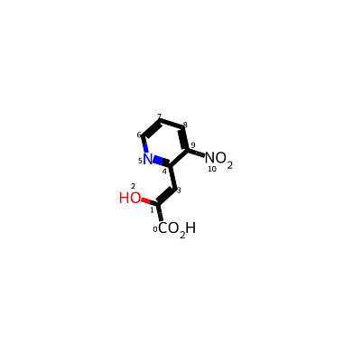 O=C(O)C(O)=Cc1ncccc1[N+](=O)[O-]